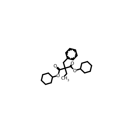 CCC(Cc1ccccc1)(C(=O)OC1CCCCC1)C(=O)OC1CCCCC1